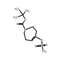 CC(C)(C)OC(=O)N1CCC=C(OS(C)(=O)=O)CC1